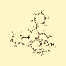 CCC.c1ccc(P(SP(c2ccccc2)c2ccccc2)c2ccccc2)cc1